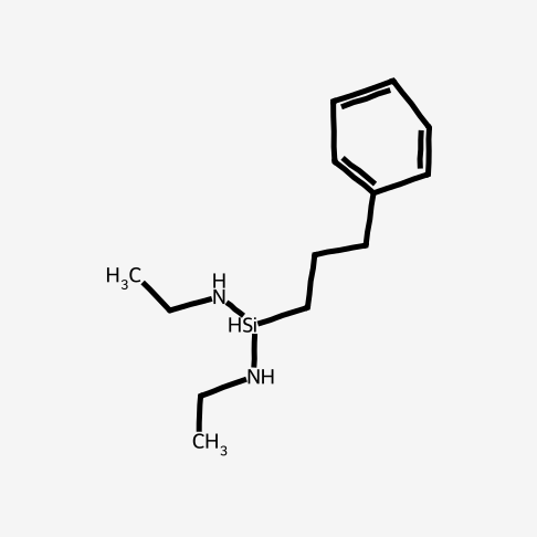 CCN[SiH](CCCc1ccccc1)NCC